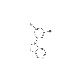 Brc1cc(Br)cc(-n2ccc3ccccc32)c1